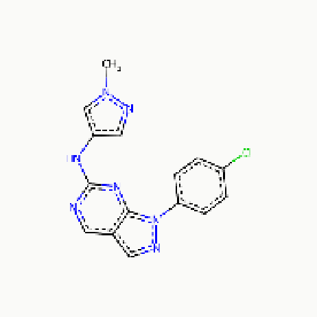 Cn1cc(Nc2ncc3cnn(-c4ccc(Cl)cc4)c3n2)cn1